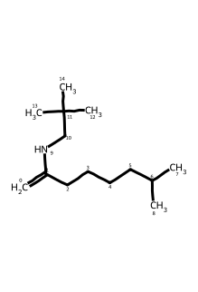 C=C(CCCCC(C)C)NCC(C)(C)C